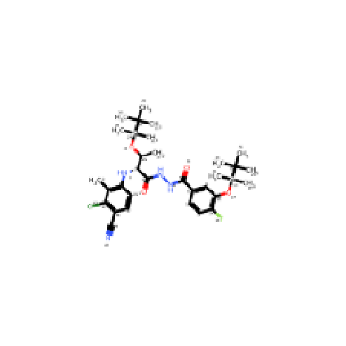 Cc1c(N[C@@H](C(=O)NNC(=O)c2ccc(F)c(O[Si](C)(C)C(C)(C)C)c2)[C@H](C)O[Si](C)(C)C(C)(C)C)ccc(C#N)c1Cl